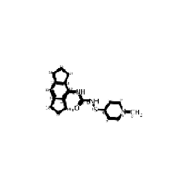 CN1CCC(SNC(=O)Nc2c3c(cc4c2CCC4)CCC3)CC1